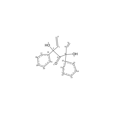 C=CC(O)(C(=O)C(O)(C=C)c1ccccc1)c1ccccc1